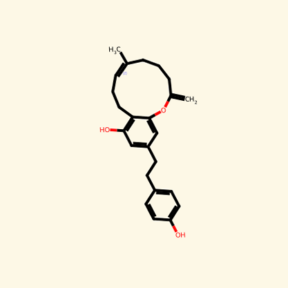 C=C1CCC/C(C)=C\CCc2c(O)cc(CCc3ccc(O)cc3)cc2O1